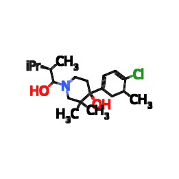 CC1CC([C@@]2(O)CCN(C(O)[C@H](C)C(C)C)CC2(C)C)=CC=C1Cl